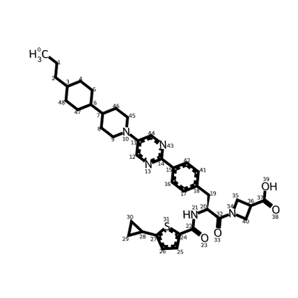 CCCC1CCC(C2CCN(c3cnc(-c4ccc(C[C@H](NC(=O)c5ccc(C6CC6)s5)C(=O)N5CC(C(=O)O)C5)cc4)nc3)CC2)CC1